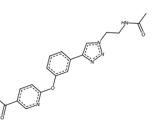 CC(=O)NCCn1cc(-c2cccc(Oc3ccc(C(=O)O)cn3)c2)nn1